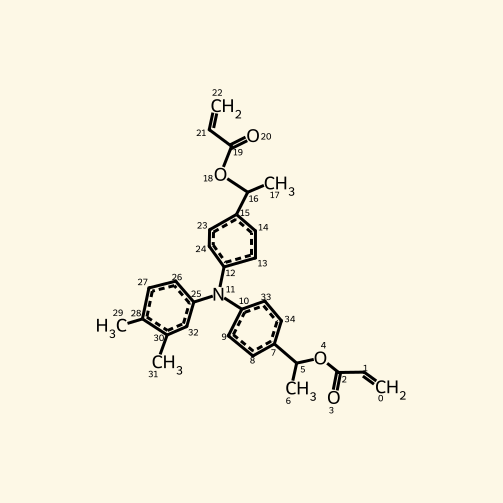 C=CC(=O)OC(C)c1ccc(N(c2ccc(C(C)OC(=O)C=C)cc2)c2ccc(C)c(C)c2)cc1